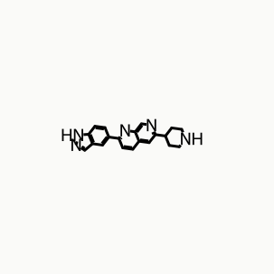 c1cc2[nH]ncc2cc1-c1ccc2cc(C3CCNCC3)ncc2n1